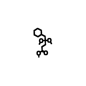 COC(=O)CCC(CC1CCCCC1)(OC)OC